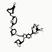 FC(F)(F)c1nnc(-c2cc3nc(CN4CCC(Oc5ccnc(Cc6ccc(Cl)cc6)n5)CC4)n(CC4CCO4)c3cn2)[nH]1